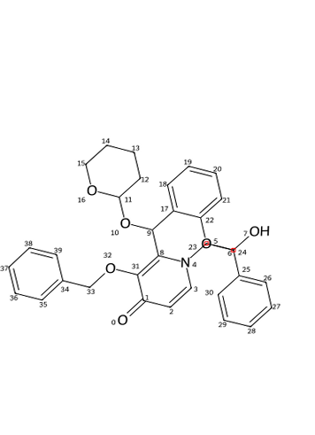 O=c1ccn(CCO)c(C(OC2CCCCO2)c2ccccc2OCc2ccccc2)c1OCc1ccccc1